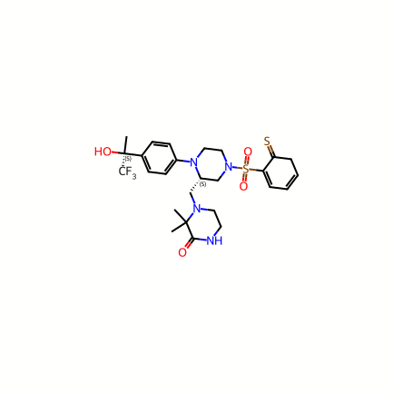 CC1(C)C(=O)NCCN1C[C@H]1CN(S(=O)(=O)C2=CC=CCC2=S)CCN1c1ccc([C@](C)(O)C(F)(F)F)cc1